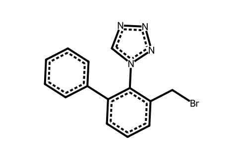 BrCc1cccc(-c2ccccc2)c1-n1cnnn1